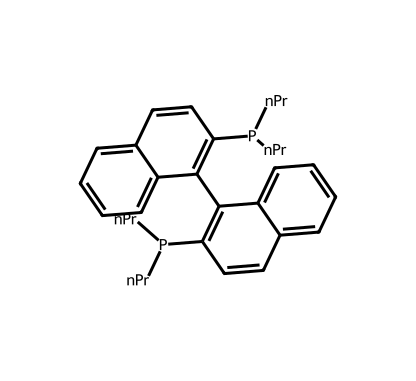 CCCP(CCC)c1ccc2ccccc2c1-c1c(P(CCC)CCC)ccc2ccccc12